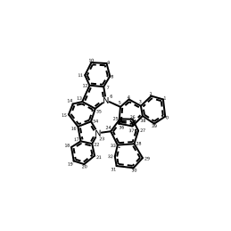 c1ccc2cc(-n3c4ccccc4c4ccc5c6ccccc6n(-c6cccc7ccccc67)c5c43)ccc2c1